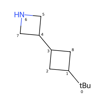 CC(C)(C)C1CC(C2CNC2)C1